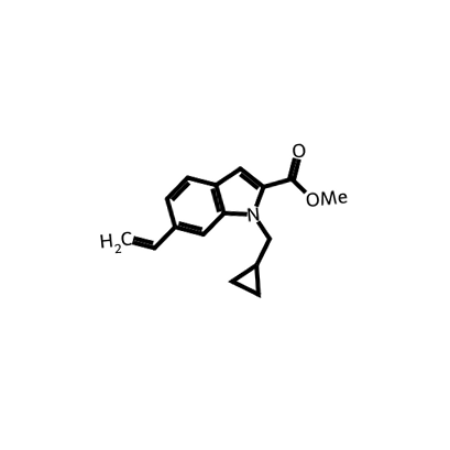 C=Cc1ccc2cc(C(=O)OC)n(CC3CC3)c2c1